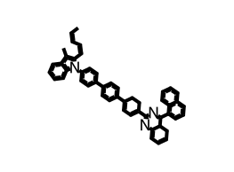 C/C=C\C=C/c1c(C)c2ccccc2n1-c1ccc(-c2ccc(C3=CC=C(C4=NC5=CC=CCC5C(c5cccc6ccccc56)=N4)CC3)cc2)cc1